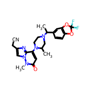 CC(c1ccc2c(c1)OC(F)(F)O2)N1CCN(c2cc(=O)n(C)n3cc(CC#N)nc23)C(C)C1